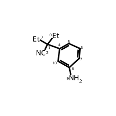 CCC(C#N)(CC)c1cccc(N)c1